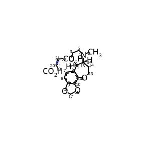 CN1CCO[C@@H]2c3ccc4c(c3OCC[C@H]21)OCO4.O=C(O)/C=C\C(=O)O